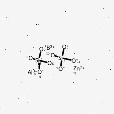 [Al+3].[B+3].[O-][Si]([O-])([O-])[O-].[O-][Si]([O-])([O-])[O-].[Zn+2]